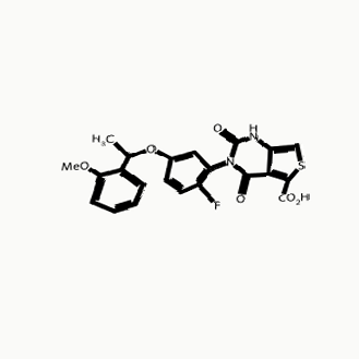 COc1ccccc1C(C)Oc1ccc(F)c(-n2c(=O)[nH]c3csc(C(=O)O)c3c2=O)c1